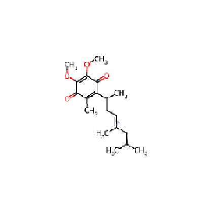 COC1=C(OC)C(=O)C(C(C)C/C=C(\C)CC(C)C)=C(C)C1=O